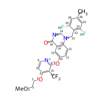 COCCOc1ccnc(Oc2ccc3c(c2)c(=O)ncn3Cc2c(F)cc(C)cc2F)c1C(F)(F)F